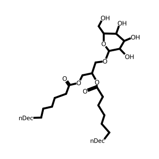 CCCCCCCCCCCCCCCC(=O)OCC(COC1OC(CO)C(O)C(O)C1O)OC(=O)CCCCCCCCCCCCCCC